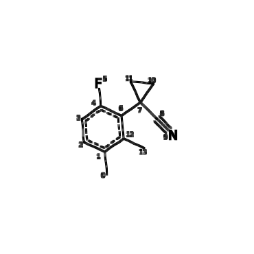 Cc1ccc(F)c(C2(C#N)CC2)c1C